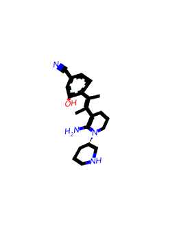 C/C(C1=C(N)N([C@H]2CCCNC2)CCC1)=C(/C)c1ccc(C#N)cc1O